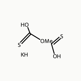 COC(O)=S.OC=S.[KH]